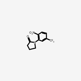 O=C1CCCN1c1cc(C(F)(F)F)ccc1[N+](=O)[O-]